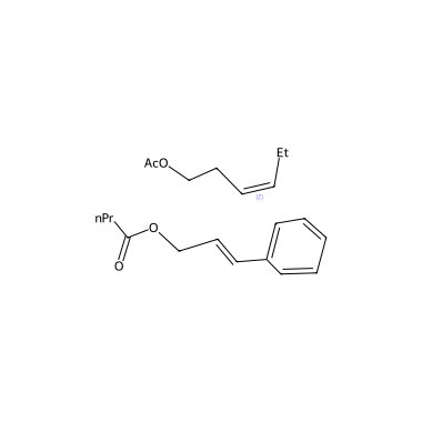 CC/C=C\CCOC(C)=O.CCCC(=O)OCC=Cc1ccccc1